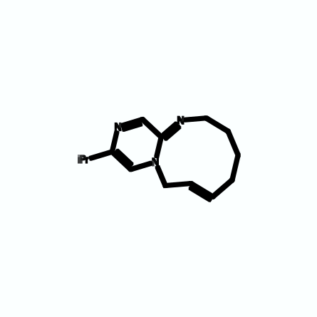 CC(C)C1=CN2C/C=C/CCCC/N=C\2C=N1